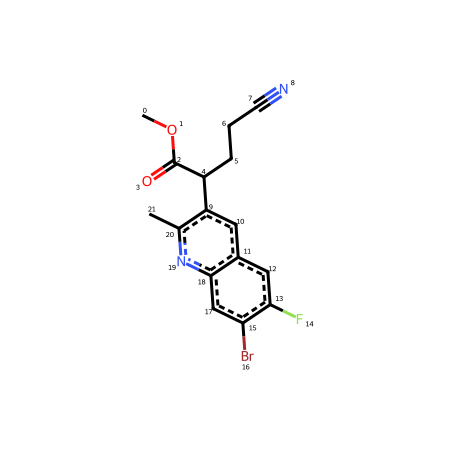 COC(=O)C(CCC#N)c1cc2cc(F)c(Br)cc2nc1C